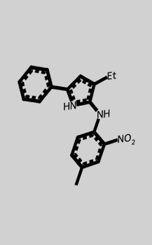 CCc1cc(-c2ccccc2)[nH]c1Nc1ccc(C)cc1[N+](=O)[O-]